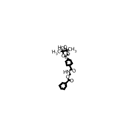 CC1(C)OB(c2ccc(C(=O)NCOC(=O)c3ccccc3)cc2)OC1(C)C